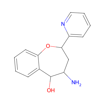 NC1CC(c2ccccn2)Oc2ccccc2C1O